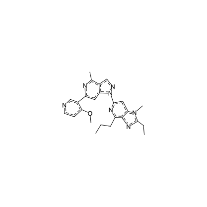 CCCc1nc(-n2ncc3c(C)nc(-c4cnccc4OC)cc32)cc2c1nc(CC)n2C